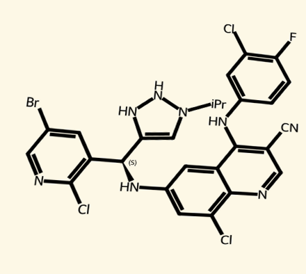 CC(C)N1C=C([C@@H](Nc2cc(Cl)c3ncc(C#N)c(Nc4ccc(F)c(Cl)c4)c3c2)c2cc(Br)cnc2Cl)NN1